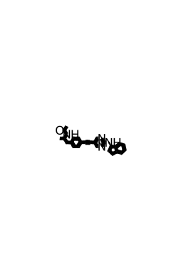 CC(=O)NC(C)Cc1ccc(C#Cc2cnc(N[C@@H]3CCc4ccccc43)nc2)cc1